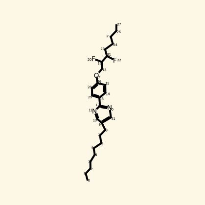 CCCCCCCCCc1cnc(-c2ccc(OCC(F)C(F)CCCCC)cc2)nc1